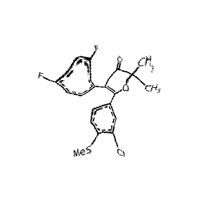 CSc1ccc(C2=C(c3ccc(F)cc3F)C(=O)C(C)(C)O2)cc1Cl